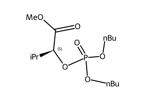 CCCCOP(=O)(OCCCC)O[C@H](C(=O)OC)C(C)C